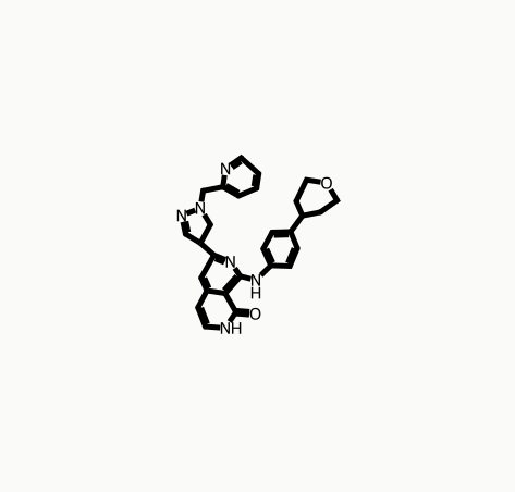 O=c1[nH]ccc2cc(C3C=NN(Cc4ccccn4)C3)nc(Nc3ccc(C4CCOCC4)cc3)c12